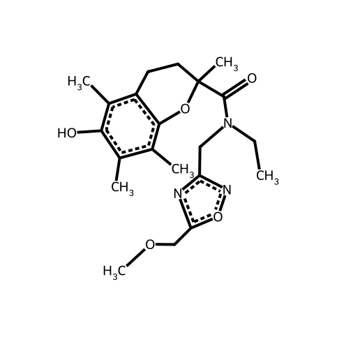 CCN(Cc1noc(COC)n1)C(=O)C1(C)CCc2c(C)c(O)c(C)c(C)c2O1